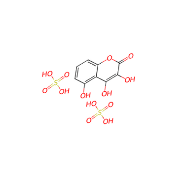 O=S(=O)(O)O.O=S(=O)(O)O.O=c1oc2cccc(O)c2c(O)c1O